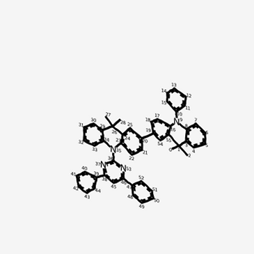 CC1(C)c2ccccc2N(c2ccccc2)c2ccc(-c3ccc4c(c3)C(C)(C)c3ccccc3N4c3nc(-c4ccccc4)cc(-c4ccccc4)n3)cc21